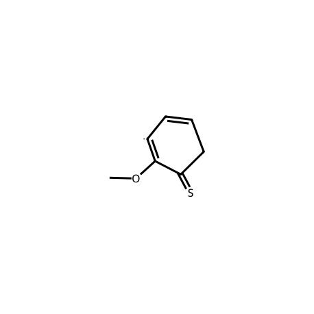 COC1=[C]C=CCC1=S